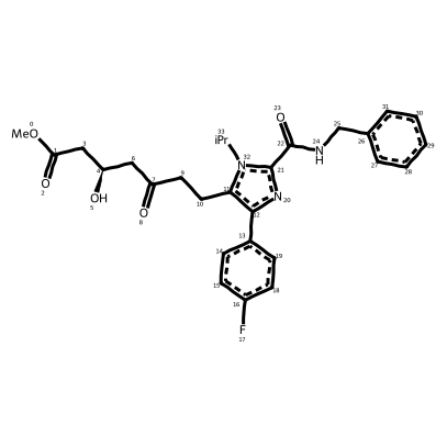 COC(=O)C[C@H](O)CC(=O)CCc1c(-c2ccc(F)cc2)nc(C(=O)NCc2ccccc2)n1C(C)C